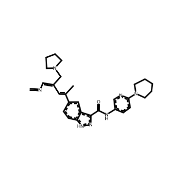 C=N/C=C(\C=C(/C)c1ccc2[nH]nc(C(=O)Nc3ccc(N4CCCCC4)nc3)c2c1)CN1CCCC1